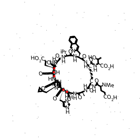 CN[C@@H](CCC(=O)O)C(=O)N[C@H]1CSCC[C@@H](C(=O)N[C@H](C(=O)O)C(C)O)NC(=O)[C@H](Cc2cc3ccccc3cn2)NC(=O)[C@H](C(C)C)NC(=O)[C@@H]2CCCCn3cc(nn3)CC[C@H](NC(=O)[C@H](C)NC1=O)C(=O)N[C@@H](Cc1c[nH]cn1)C(=O)N[C@@H](CC1CC1)C(=O)NCC(=O)N[C@@H](CCC(=O)O)C(=O)N2